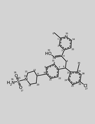 Cc1cc(C(CC(c2ccc(C3CCN(S(N)(=O)=O)CC3)cc2)c2ccc(Cl)cc2C)=NO)ccn1